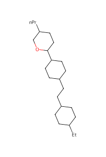 CCCC1CCC(C2CCC(CCC3CCC(CC)CC3)CC2)OC1